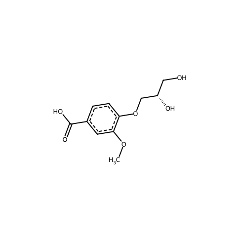 COc1cc(C(=O)O)ccc1OC[C@@H](O)CO